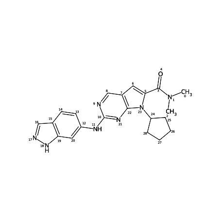 CN(C)C(=O)c1cc2cnc(Nc3ccc4cn[nH]c4c3)nc2n1C1CCCC1